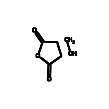 CO.O=C1CCC(=O)O1